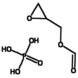 O=COCC1CO1.O=P(O)(O)O